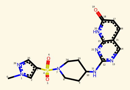 Cn1cc(S(=O)(=O)N2CCC(Nc3ncc4ccc(=O)[nH]c4n3)CC2)cn1